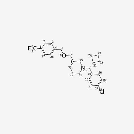 FC(F)(F)c1ccc(COCC2CCCN([C@@H](c3ccc(Cl)cc3)C3CCC3)C2)cc1